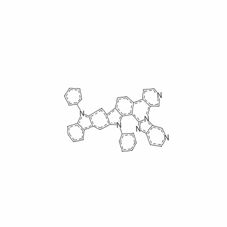 c1ccc(-n2c3ccccc3c3cc4c(cc32)c2ccc3c5ccncc5n5c6cnccc6nc5c3c2n4-c2ccccc2)cc1